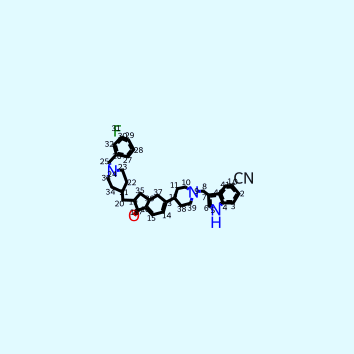 N#Cc1ccc2[nH]cc(CN3CCC(C4=CC=C5C(=O)C(CC6CCN(Cc7cccc(F)c7)CC6)CC5C4)CC3)c2c1